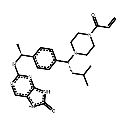 C=CC(=O)N1CCN([C@H](CC(C)C)c2ccc([C@H](C)Nc3ncc4[nH]c(=O)[nH]c4n3)cc2)CC1